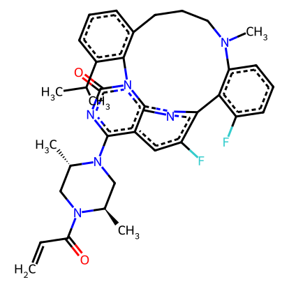 C=CC(=O)N1C[C@H](C)N(c2nc(=O)n3c4nc(c(F)cc24)-c2c(F)cccc2N(C)CCCc2cccc(C(C)C)c2-3)C[C@H]1C